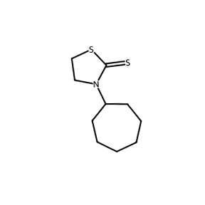 S=C1SCCN1C1CCCCCC1